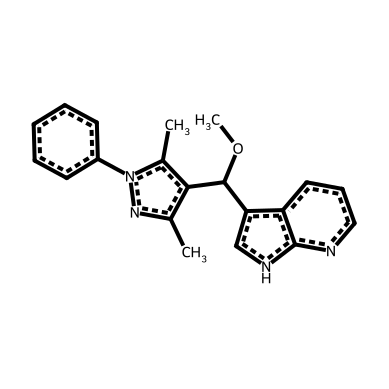 COC(c1c(C)nn(-c2ccccc2)c1C)c1c[nH]c2ncccc12